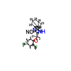 CC(C)(Oc1ccc(F)cc1F)C(=N)N(C#N)C12CC3CC(CC(C3)C1)C2